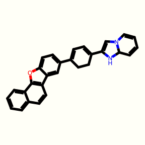 C1=CC2NC(C3=CC=C(c4ccc5oc6c7ccccc7ccc6c5c4)CC3)=CN2C=C1